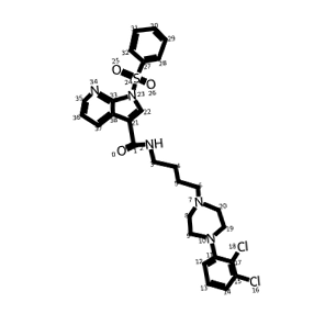 O=C(NCCCCN1CCN(c2cccc(Cl)c2Cl)CC1)c1cn(S(=O)(=O)c2ccccc2)c2ncccc12